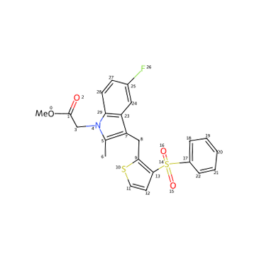 COC(=O)Cn1c(C)c(Cc2sccc2S(=O)(=O)c2ccccc2)c2cc(F)ccc21